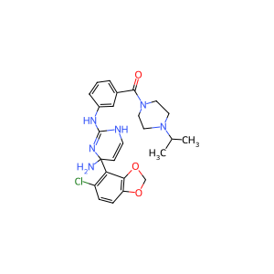 CC(C)N1CCN(C(=O)c2cccc(NC3=NC(N)(c4c(Cl)ccc5c4OCO5)C=CN3)c2)CC1